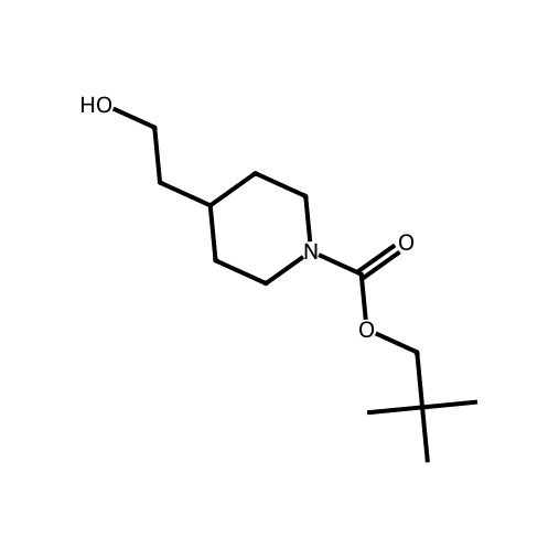 CC(C)(C)COC(=O)N1CCC(CCO)CC1